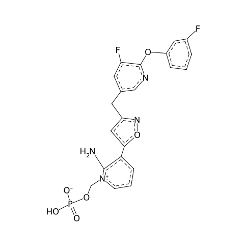 Nc1c(-c2cc(Cc3cnc(Oc4cccc(F)c4)c(F)c3)no2)ccc[n+]1COP(=O)([O-])O